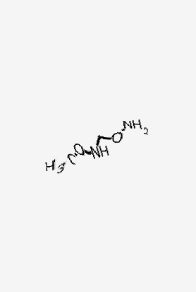 CONCON